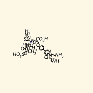 C[n+]1cc(-c2ccc(OC[C@H](O/N=C(\C(=O)N[C@@H]3C(=O)N(OS(=O)(=O)O)C3(C)C)c3csc(N)n3)C(=O)O)cc2)cnc1N(CCN)CC1CNC1